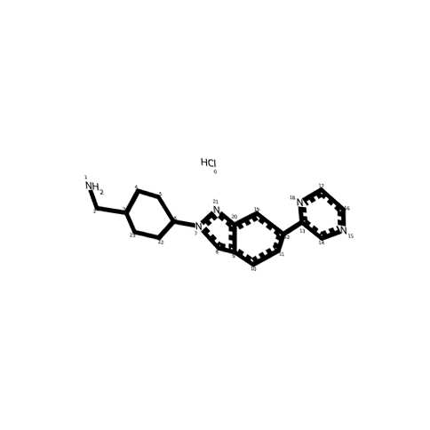 Cl.NCC1CCC(n2cc3ccc(-c4cnccn4)cc3n2)CC1